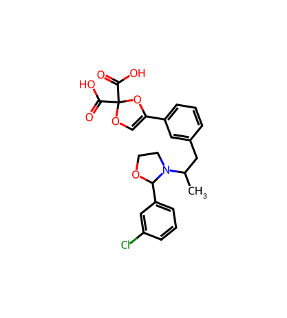 CC(Cc1cccc(C2=COC(C(=O)O)(C(=O)O)O2)c1)N1CCOC1c1cccc(Cl)c1